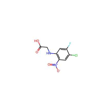 O=C(O)CNc1cc(F)c(Cl)cc1[N+](=O)[O-]